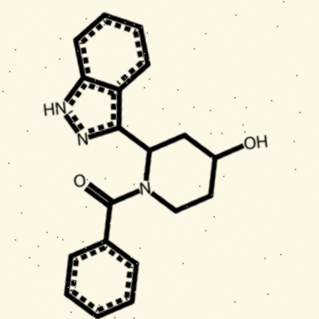 O=C(c1ccccc1)N1CCC(O)CC1c1n[nH]c2ccccc12